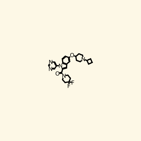 O=C(c1cc2cc(OC3CCN(C4CCC4)CC3)ccc2n1-c1cncnc1)N1CCC(F)(F)CC1